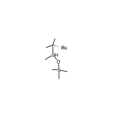 CC[C@@H](C)C(C)(C)[SiH](C)O[Si](C)(C)C